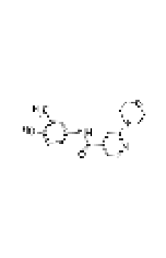 Cc1cc(NC(=O)c2ccnc(N3CCOCC3)c2)ccc1O